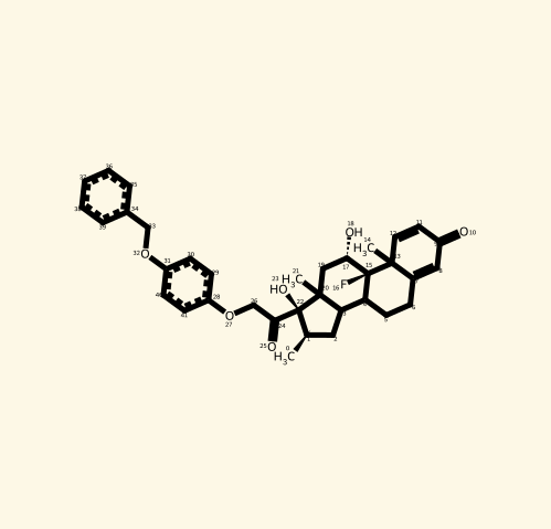 C[C@@H]1CC2C3CCC4=CC(=O)C=CC4(C)[C@@]3(F)[C@@H](O)CC2(C)[C@@]1(O)C(=O)COc1ccc(OCc2ccccc2)cc1